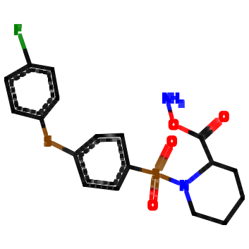 NOC(=O)C1CCCCN1S(=O)(=O)c1ccc(Sc2ccc(F)cc2)cc1